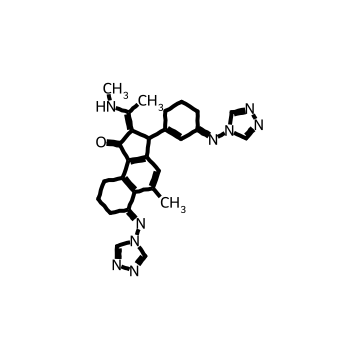 CN/C(C)=C1\C(=O)c2c(cc(C)c3c2CCC/C3=N\n2cnnc2)C1C1=C/C(=N/n2cnnc2)CCC1